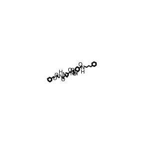 O=C(CNC(=O)c1ccc(C(=O)NS(=O)(=O)c2ccc(C(=O)NCCCCc3ccccc3)cc2)cn1)OCc1ccccc1